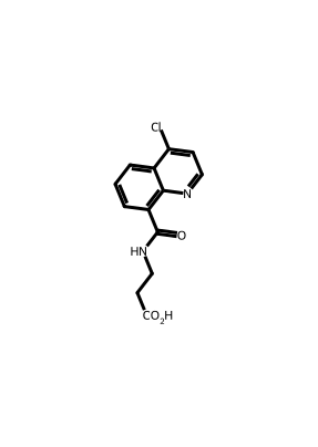 O=C(O)CCNC(=O)c1cccc2c(Cl)ccnc12